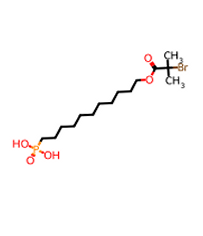 CC(C)(Br)C(=O)OCCCCCCCCCCCP(=O)(O)O